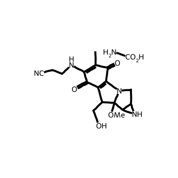 COC12C(CO)C3=C(C(=O)C(C)=C(NCCC#N)C3=O)N1CC1NC12.NC(=O)O